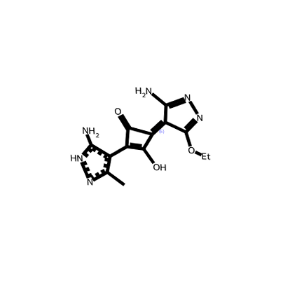 CCOC1=NN=C(N)/C1=C1\C(=O)C(c2c(C)n[nH]c2N)=C1O